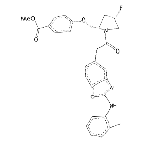 COC(=O)c1ccc(OC[C@@H]2C[C@H](F)CN2C(=O)Cc2ccc3oc(Nc4ccccc4C)nc3c2)cc1